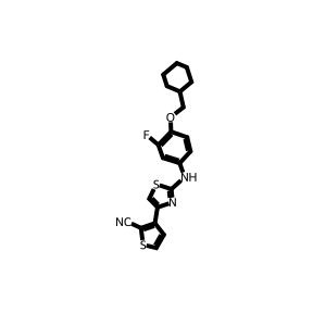 N#Cc1sccc1-c1csc(Nc2ccc(OCC3CCCCC3)c(F)c2)n1